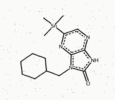 [CH3][Sn]([CH3])([CH3])[c]1cnc2[nH]c(=O)n(CC3CCCCC3)c2n1